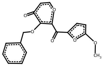 COc1ccc(C(=O)c2occc(=O)c2OCc2ccccc2)o1